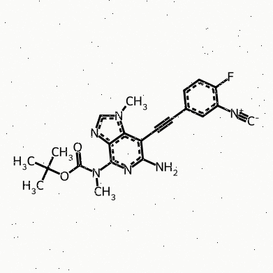 [C-]#[N+]c1cc(C#Cc2c(N)nc(N(C)C(=O)OC(C)(C)C)c3ncn(C)c23)ccc1F